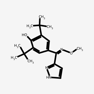 CON=C(c1cc(C(C)(C)C)c(O)c(C(C)(C)C)c1)c1cc[nH]n1